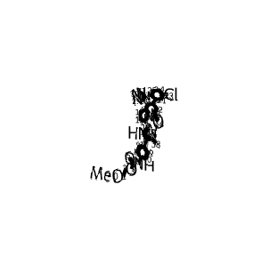 COCCOC(=O)Nc1ccc(-c2[nH]c([C@@H]3CCc4cc(-c5cc(Cl)ccc5-n5cnnn5)cc(=O)n43)nc2C)cc1